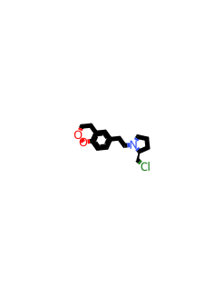 ClC[C@@H]1CCCN1CCc1ccc2c(c1)CCOO2